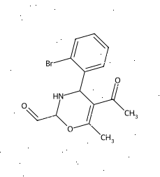 CC(=O)C1=C(C)OC(C=O)NC1c1ccccc1Br